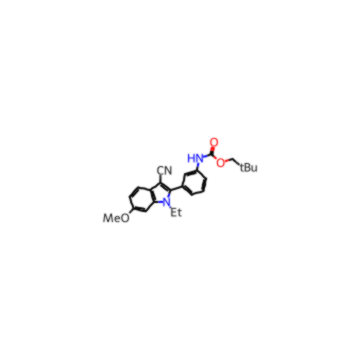 CCn1c(-c2cccc(NC(=O)OCC(C)(C)C)c2)c(C#N)c2ccc(OC)cc21